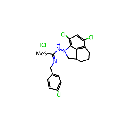 CSC(=NCc1ccc(Cl)cc1)NN1CC2CCCc3c(Cl)cc(Cl)c1c32.Cl